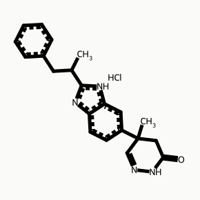 CC(Cc1ccccc1)c1nc2ccc(C3(C)C=NNC(=O)C3)cc2[nH]1.Cl